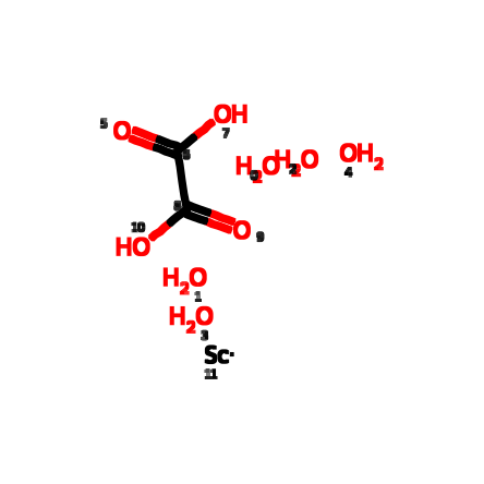 O.O.O.O.O.O=C(O)C(=O)O.[Sc]